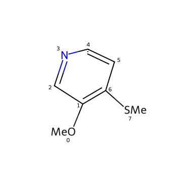 COc1cn[c]cc1SC